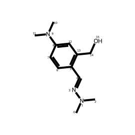 CN(C)N=Cc1ccc(N(C)C)cc1CO